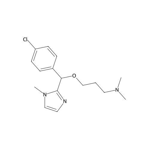 CN(C)CCCOC(c1ccc(Cl)cc1)c1nccn1C